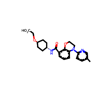 Cc1ccc(N2CCOc3c(C(=O)N[C@H]4CC[C@H](OCC(=O)O)CC4)cccc32)nc1